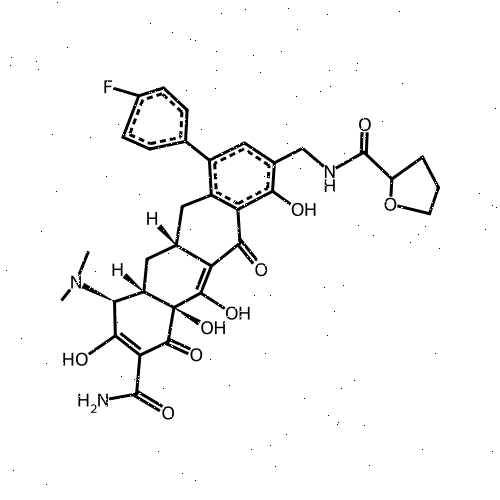 CN(C)[C@@H]1C(O)=C(C(N)=O)C(=O)[C@@]2(O)C(O)=C3C(=O)c4c(O)c(CNC(=O)C5CCCO5)cc(-c5ccc(F)cc5)c4C[C@H]3C[C@@H]12